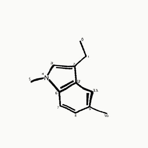 C[CH]c1cn(C)c2ccc(C)cc12